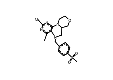 Cc1nc(Cl)nc2c1N(Cc1ccc(S(C)(=O)=O)cc1)CC1COCCN21